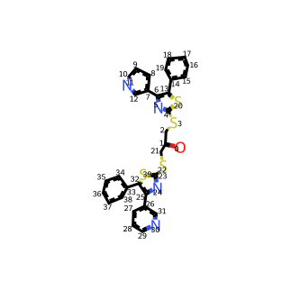 O=C(CSc1nc(-c2cccnc2)c(-c2ccccc2)s1)CSc1nc(-c2cccnc2)c(-c2ccccc2)s1